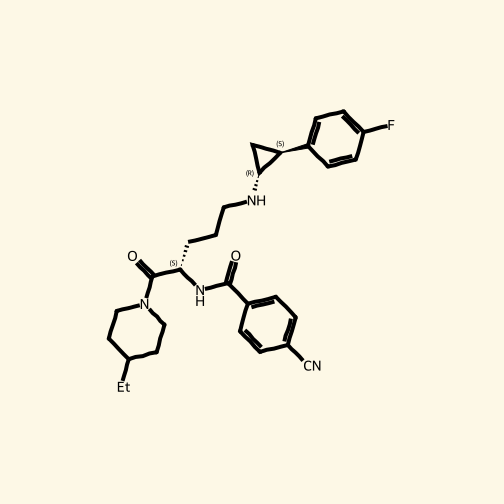 CCC1CCN(C(=O)[C@H](CCCN[C@@H]2C[C@H]2c2ccc(F)cc2)NC(=O)c2ccc(C#N)cc2)CC1